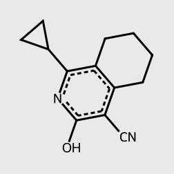 N#Cc1c(O)nc(C2CC2)c2c1CCCC2